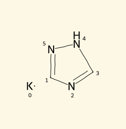 [K].c1nc[nH]n1